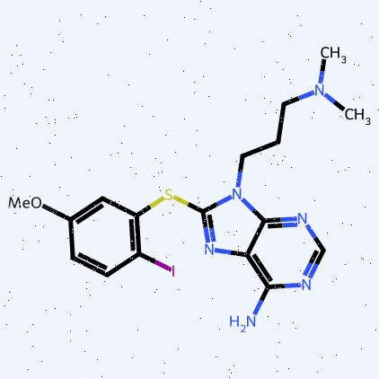 COc1ccc(I)c(Sc2nc3c(N)ncnc3n2CCCN(C)C)c1